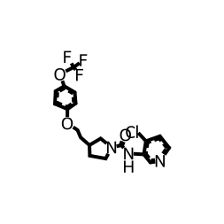 O=C(Nc1cnccc1Cl)N1CCC(CCOc2ccc(OC(F)(F)F)cc2)C1